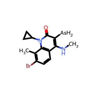 CNc1c([AsH2])c(=O)n(C2CC2)c2c(C)c(Br)ccc12